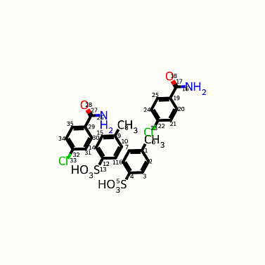 Cc1ccc(S(=O)(=O)O)cc1.Cc1ccc(S(=O)(=O)O)cc1.NC(=O)c1ccc(Cl)cc1.NC(=O)c1ccc(Cl)cc1